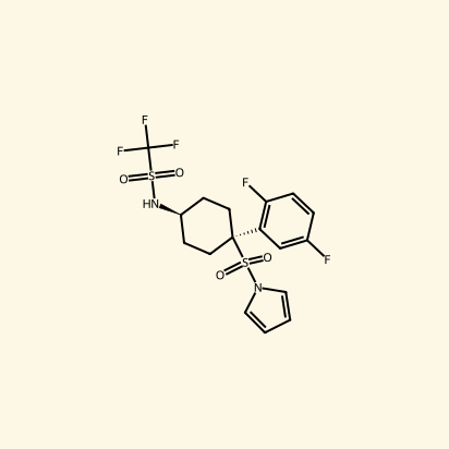 O=S(=O)(N[C@H]1CC[C@@](c2cc(F)ccc2F)(S(=O)(=O)n2cccc2)CC1)C(F)(F)F